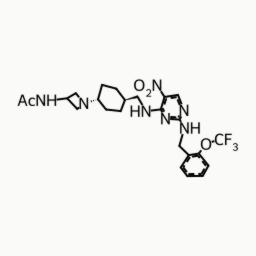 CC(=O)NC1CN([C@H]2CC[C@H](CNc3nc(NCc4ccccc4OC(F)(F)F)ncc3[N+](=O)[O-])CC2)C1